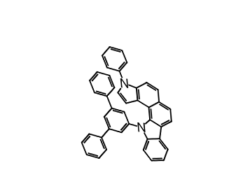 c1ccc(-c2cc(-c3ccccc3)cc(-n3c4ccccc4c4ccc5ccc6c(ccn6-c6ccccc6)c5c43)c2)cc1